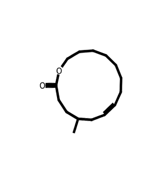 CC1CC=CCCCCCCCOC(=O)CC1